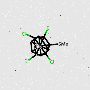 CS[C]12[C]3(Cl)[C]4(Cl)[C]5(Cl)[C]1(Cl)[Fe]45321678[CH]2[CH]1[CH]6[CH]7[CH]28